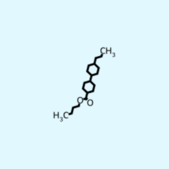 CCCCOC(=O)C1CCC(C2CCC(CCC)CC2)CC1